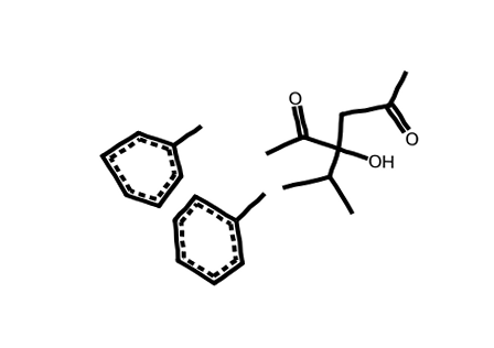 CC(=O)CC(O)(C(C)=O)C(C)C.Cc1ccccc1.Cc1ccccc1